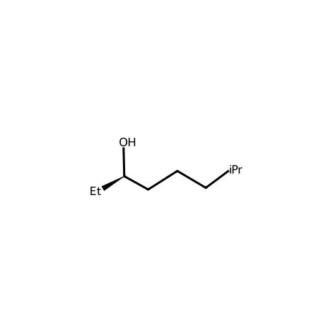 CC[C@@H](O)CCCC(C)C